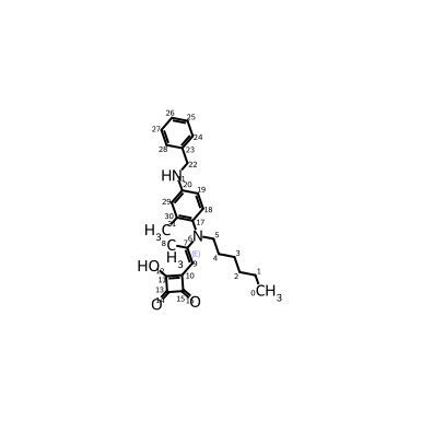 CCCCCCN(/C(C)=C/c1c(O)c(=O)c1=O)c1ccc(NCc2ccccc2)cc1C